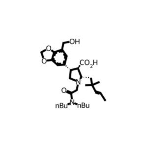 C/C=C/C(C)(C)C[C@H]1[C@H](C(=O)O)[C@@H](c2cc(CO)c3c(c2)OCO3)CN1CC(=O)N(CCCC)CCCC